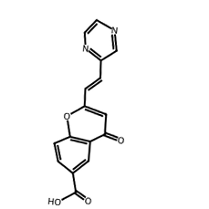 O=C(O)c1ccc2oc(C=Cc3cnccn3)cc(=O)c2c1